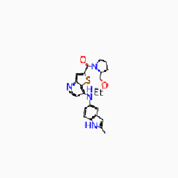 CCOCC1CCCN1C(=O)c1cc2nccc(Nc3ccc4[nH]c(C)cc4c3)c2s1